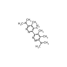 Cc1c(-c2nnc(N(C)C)c(C)c2C)nnc(N(C)C)c1C